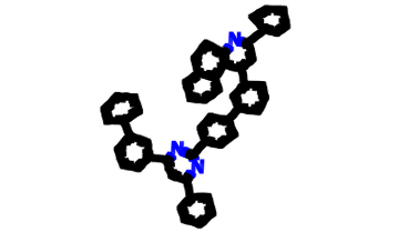 c1ccc(-c2cccc(-c3cc(-c4ccccc4)nc(-c4ccc(-c5cccc(-c6cc(-c7ccccc7)nc7ccc8ccccc8c67)c5)cc4)n3)c2)cc1